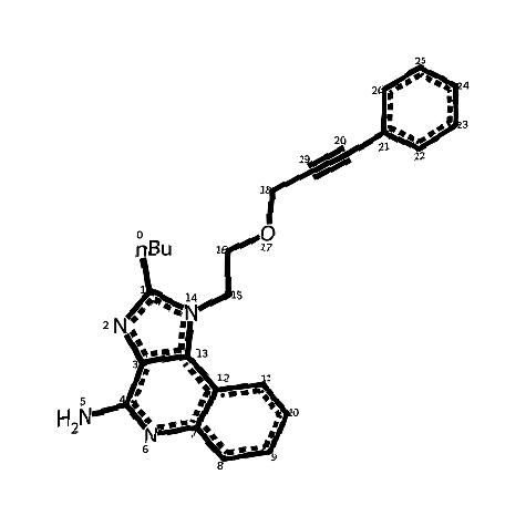 CCCCc1nc2c(N)nc3ccccc3c2n1CCOCC#Cc1ccccc1